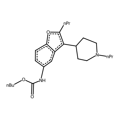 CCCCOC(=O)Nc1ccc2oc(CCC)c(C3CCN(CCC)CC3)c2c1